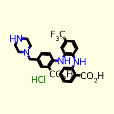 Cl.O=C(O)c1ccccc1Nc1ccc(C(F)(F)F)cc1Nc1ccc(CN2CCNCC2)cc1C(=O)O